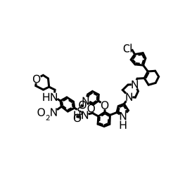 O=C(NS(=O)(=O)c1ccc(NCC2CCOCC2)c([N+](=O)[O-])c1)c1cccc(-c2cc(N3CCN(CC4=C(c5ccc(Cl)cc5)CCCC4)CC3)c[nH]2)c1Oc1cccnc1